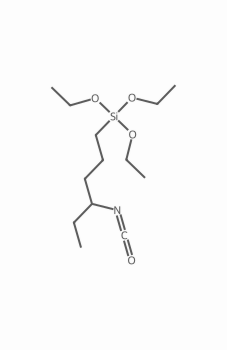 CCO[Si](CCCC(CC)N=C=O)(OCC)OCC